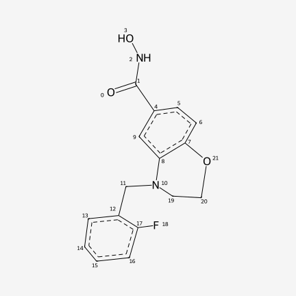 O=C(NO)c1ccc2c(c1)N(Cc1ccccc1F)CCO2